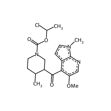 COc1cnc2c(ccn2C)c1C(=O)C1CN(C(=O)OC(C)Cl)CCC1C